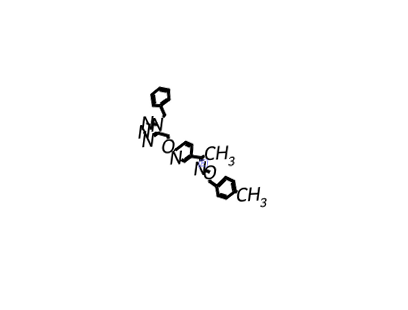 C/C(=N\OCc1ccc(C)cc1)c1ccc(OCc2nnnn2Cc2ccccc2)nc1